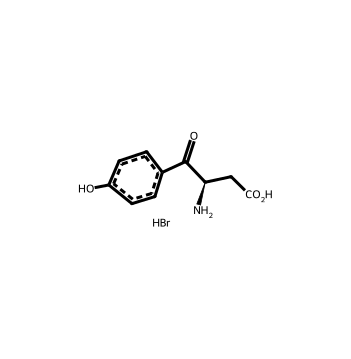 Br.N[C@H](CC(=O)O)C(=O)c1ccc(O)cc1